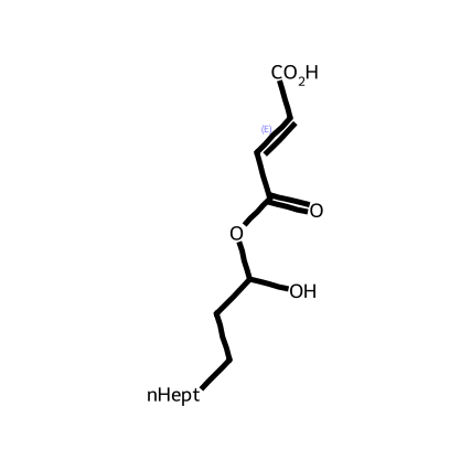 CCCCCCCCCC(O)OC(=O)/C=C/C(=O)O